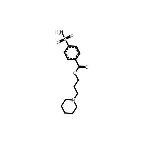 NS(=O)(=O)c1ccc(C(=O)OCCCN2CCCCC2)cc1